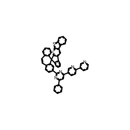 C1=Cc2ccc(-c3nc(-c4ccccc4)cc(-c4ccc(-c5cccnc5)nc4)n3)cc2C2(c3ccccc31)c1ccccc1-c1cc3c(cc12)sc1ccccc13